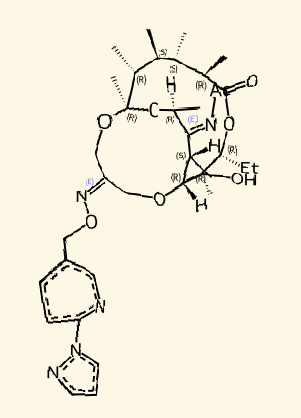 CC[C@H]1OC(=O)[C@H](C)[C@@H](C)[C@H](C)[C@@H](C)[C@@]2(C)C[C@@H](C)/C(=N\C(C)=O)[C@H](C)[C@@H](OC/C(=N\OCc3ccc(-n4cccn4)nc3)CO2)[C@]1(C)O